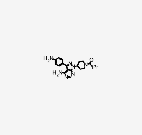 CC(C)C(=O)N1CCC(n2nc(-c3ccc(N)cc3)c3c(N)ncnc32)CC1